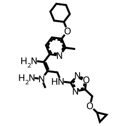 Cc1nc(/C(N)=C(\CNc2noc(COC3CC3)n2)N(C)N)ccc1OC1CCCCC1